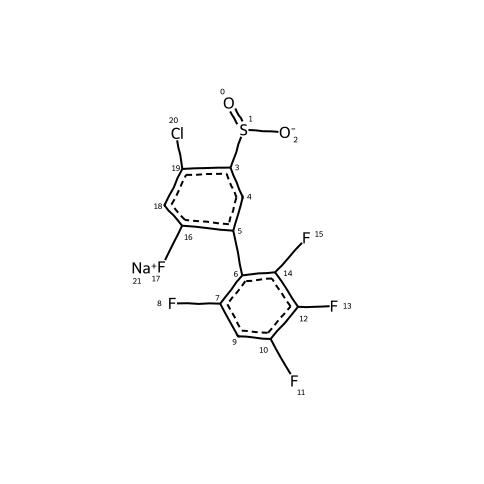 O=S([O-])c1cc(-c2c(F)cc(F)c(F)c2F)c(F)cc1Cl.[Na+]